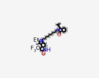 CCc1c(C)c2c3c(C(F)(F)F)cc(=O)[nH]c3ccc2n1CCCCCCCCCN1C(=O)c2ccccc2C1=C1CC1